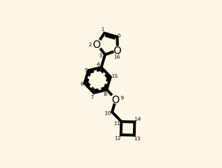 C1=COC(c2cccc(OCC3CCC3)c2)O1